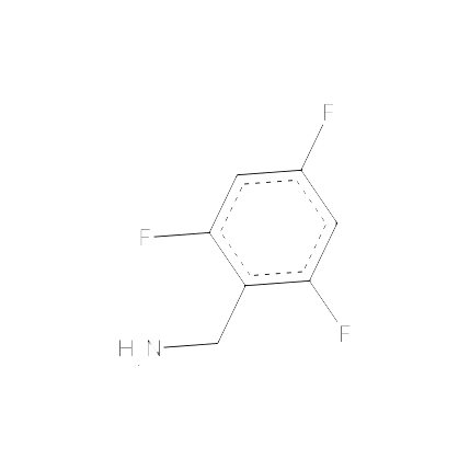 NCc1c(F)cc(F)cc1F